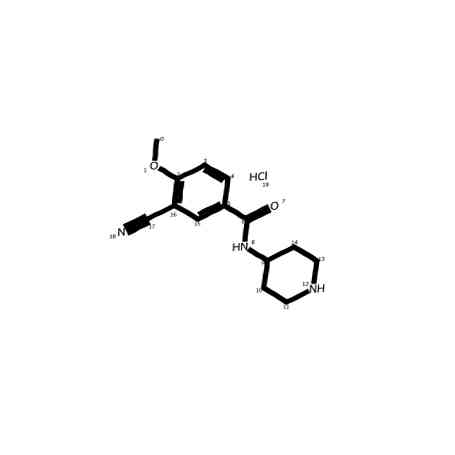 COc1ccc(C(=O)NC2CCNCC2)cc1C#N.Cl